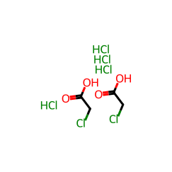 Cl.Cl.Cl.Cl.O=C(O)CCl.O=C(O)CCl